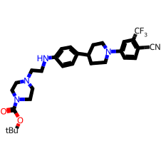 CC(C)(C)OC(=O)N1CCN(CCNc2ccc(C3CCN(c4ccc(C#N)c(C(F)(F)F)c4)CC3)cc2)CC1